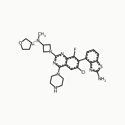 CN(C1CN(c2nc(N3CCNCC3)c3cc(Cl)c(-c4cccc5sc(N)nc45)c(F)c3n2)C1)[C@@H]1CCOC1